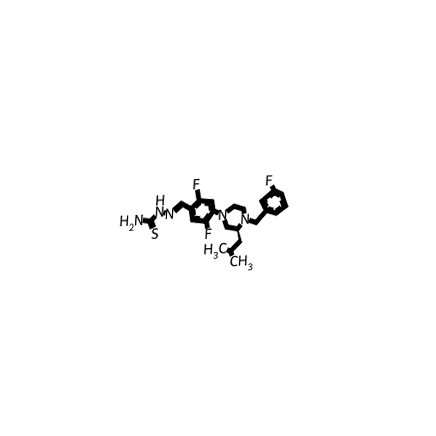 CC(C)C[C@H]1CN(c2cc(F)c(C=NNC(N)=S)cc2F)CCN1Cc1cccc(F)c1